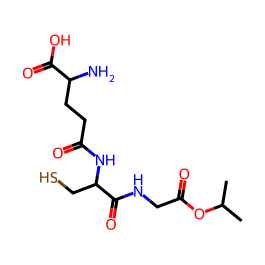 CC(C)OC(=O)CNC(=O)C(CS)NC(=O)CCC(N)C(=O)O